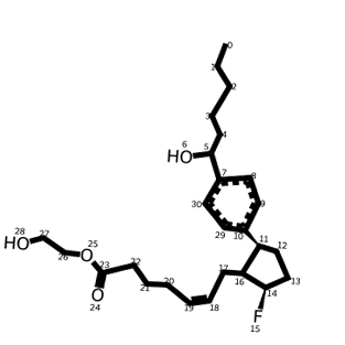 CCCCCC(O)c1ccc([C@H]2CC[C@@H](F)C2C/C=C\CCCC(=O)OCCO)cc1